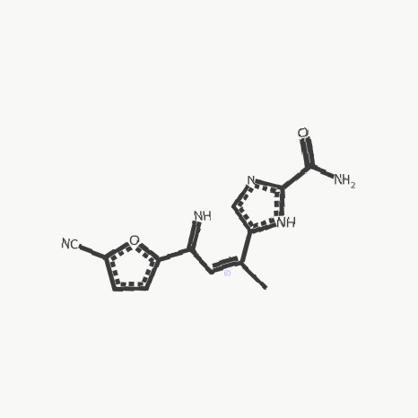 C/C(=C/C(=N)c1ccc(C#N)o1)c1cnc(C(N)=O)[nH]1